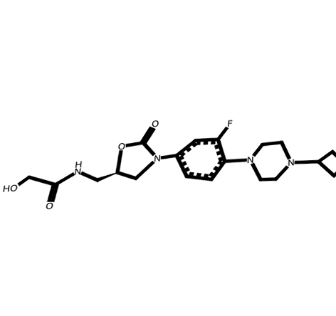 O=C(CO)NC[C@@H]1CN(c2ccc(N3CCN(C4COC4)CC3)c(F)c2)C(=O)O1